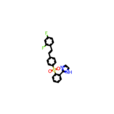 O=S(=O)(c1ccc(C=Cc2ccc(F)cc2F)cc1)c1ccccc1-c1ncc[nH]1